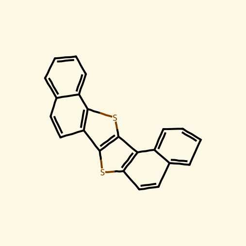 c1ccc2c(c1)ccc1c2sc2c1sc1ccc3ccccc3c12